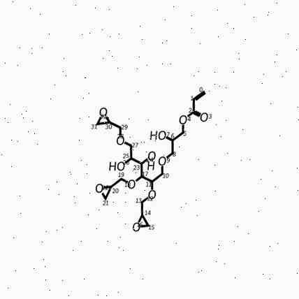 C=CC(=O)OCC(O)COCC(OCC1CO1)C(OCC1CO1)C(O)C(O)COCC1CO1